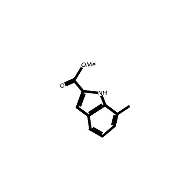 COC(=O)c1cc2[c]ccc(C)c2[nH]1